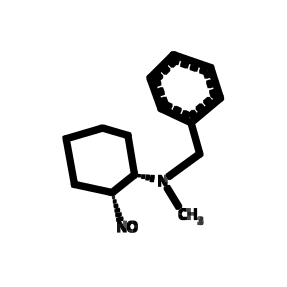 CN(Cc1ccccc1)[C@H]1CCCC[C@H]1N=O